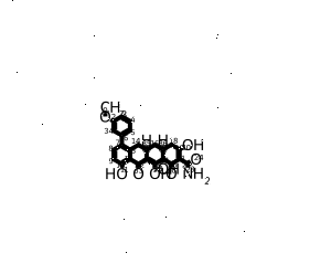 COc1cccc(-c2ccc(O)c3c2C[C@H]2C[C@H]4CC(O)=C(C(N)=O)C(=O)C4(O)C(O)=C2C3=O)c1